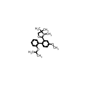 COc1ccc(-c2ccccc2OC(C)C)c(C2OCC(C)(C)N2C)c1